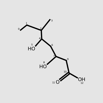 CCC(C)C(O)CC(O)CC(=O)O